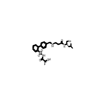 CC(C)C[C@H](CS)NC(=O)CCNCc1ccc(-c2ccccc2S(=O)(=O)NC(=O)[C@H](C)O)cc1